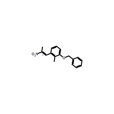 C/C(=C\c1cccc(OCc2ccccc2)c1C)[N+](=O)[O-]